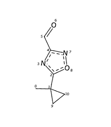 CC1(c2nc(C=O)no2)CC1